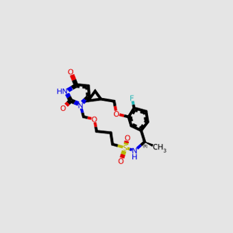 C[C@@H](NS(=O)(=O)CCCOCn1ccc(=O)[nH]c1=O)c1ccc(F)c(OCC2CC2)c1